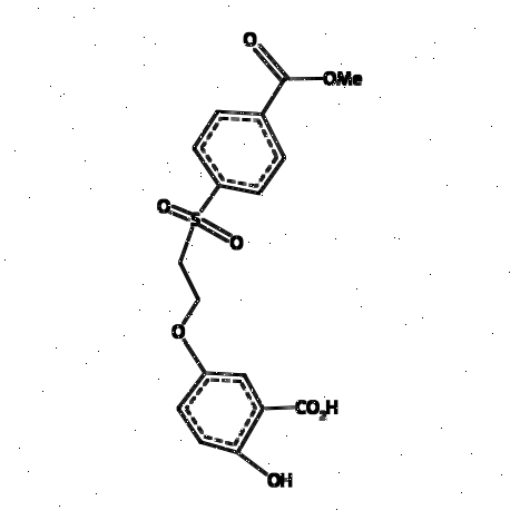 COC(=O)c1ccc(S(=O)(=O)CCOc2ccc(O)c(C(=O)O)c2)cc1